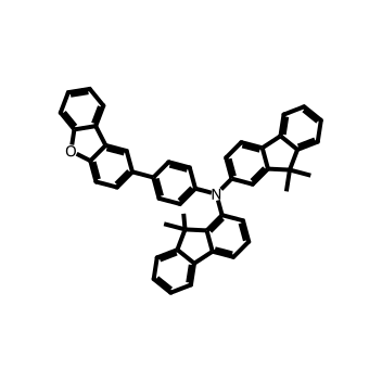 CC1(C)c2ccccc2-c2ccc(N(c3ccc(-c4ccc5oc6ccccc6c5c4)cc3)c3cccc4c3C(C)(C)c3ccccc3-4)cc21